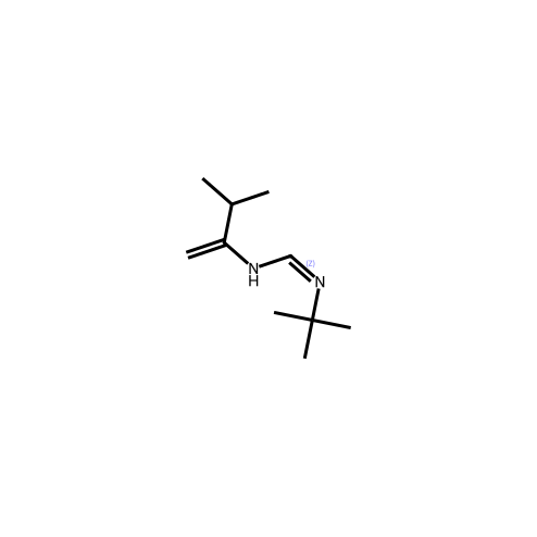 C=C(N/C=N\C(C)(C)C)C(C)C